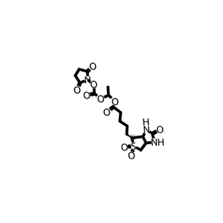 CC(OC(=O)CCCC[C@H]1C2NC(=O)NC2CS1(=O)=O)OC(=O)ON1C(=O)CCC1=O